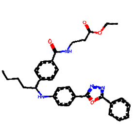 CCCCC(Nc1ccc(-c2nnc(-c3ccccc3)o2)cc1)c1ccc(C(=O)NCCC(=O)OCC)cc1